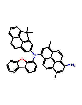 Cc1cc(N)c2ccc3c(C)cc(N(c4cc5c6c(ccc7cccc(c76)C5(C)C)c4)c4cccc5c4oc4ccccc45)c4ccc1c2c34